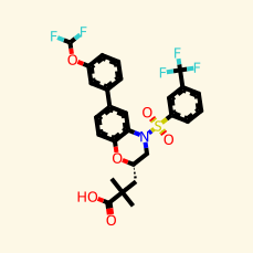 CC(C)(C[C@H]1CN(S(=O)(=O)c2cccc(C(F)(F)F)c2)c2cc(-c3cccc(OC(F)F)c3)ccc2O1)C(=O)O